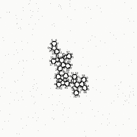 CC1(C)c2ccccc2-c2ccc(-n3c4ccccc4c4c5c6ccc(-c7cccc(C8(c9ccccc9)c9ccccc9-c9ccc(-n%10c%11ccccc%11c%11c%12c%13ccccc%13c%13ccccc%13c%12c%12c%13ccccc%13sc%12c%11%10)cc98)c7)cc6c6ccccc6c5c5c6ccccc6sc5c43)cc21